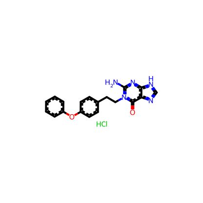 Cl.Nc1nc2[nH]cnc2c(=O)n1CCc1ccc(Oc2ccccc2)cc1